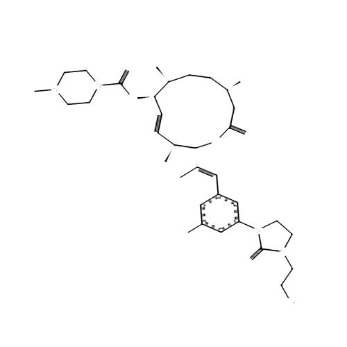 C/C(=C\c1cc(F)cc(N2CCN(CCO)C2=O)c1)[C@H]1OC(=O)C[C@H](O)CC[C@H](C)[C@H](OC(=O)N2CCN(C)CC2)/C=C/[C@@H]1C